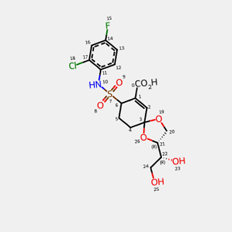 O=C(O)C1=CC2(CCC1S(=O)(=O)Nc1ccc(F)cc1Cl)OC[C@H]([C@H](O)CO)O2